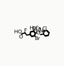 CCNC1(Cl)C=CC=CC1COc1c(Br)cc(CC(F)C(=O)O)cc1Br